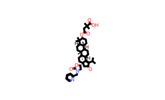 CC(C)C1=C2[C@H]3CC[C@@H]4[C@@]5(C)CC[C@H](OC(=O)CC(C)(C)C(=O)O)C(C)(C)[C@@H]5CC[C@@]4(C)[C@]3(C)CCC2([C@@H]2CN(Cc3ccccn3)C(=O)O2)CC1=O